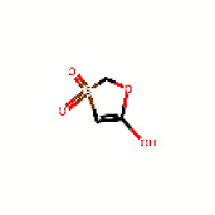 O=S1(=O)C=C(O)OC1